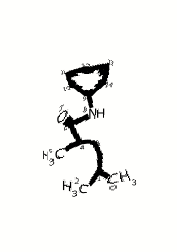 CC(C)CC(C)C(=O)Nc1ccccc1